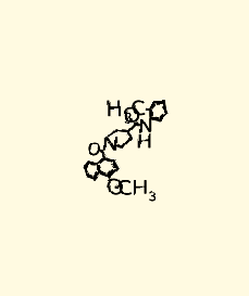 COc1ccc(C(=O)N2CCC(C(=O)Nc3ccccc3C)CC2)c2ccccc12